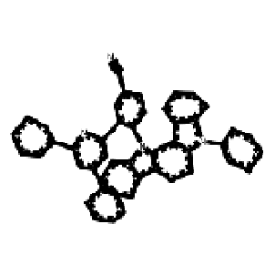 N#Cc1ccc(-n2c3ccccc3c3ccc4c(c5ccccc5n4-c4ccccc4)c32)c(-c2cc(-c3ccccc3)cc(-c3ccccc3)n2)c1